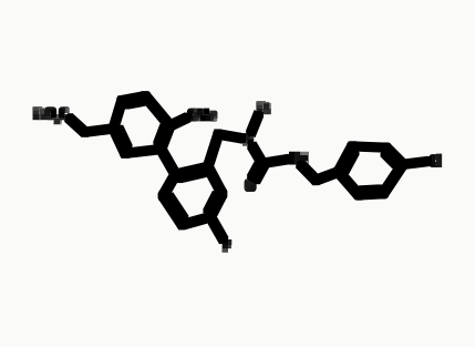 CCOC(=O)Cc1ccc(OC)c(-c2ccc(F)cc2CN(CC)C(=O)NCc2ccc(Cl)cc2)c1